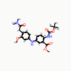 COC(=O)c1cc(Nc2ccc(CC(=O)N(C)C)c(OC)c2)ccc1NC(=O)OC(C)(C)C